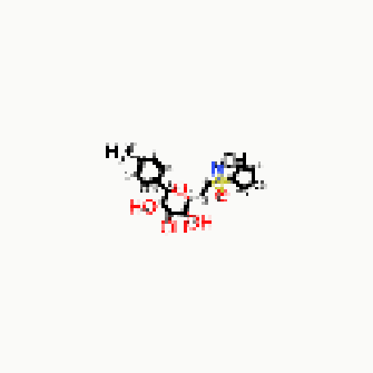 CN=S(=O)(CC[C@H]1OC(c2ccc(C)cc2)[C@@H](O)[C@@H](O)[C@@H]1O)C1CCCC1